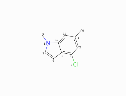 Cc1cc(Cl)c2ccn(C)c2c1